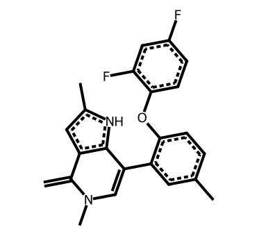 C=C1c2cc(C)[nH]c2C(c2cc(C)ccc2Oc2ccc(F)cc2F)=CN1C